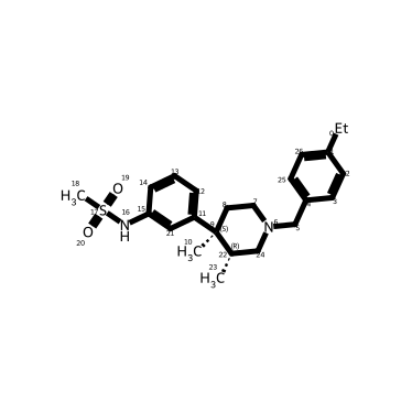 CCc1ccc(CN2CC[C@](C)(c3cccc(NS(C)(=O)=O)c3)[C@@H](C)C2)cc1